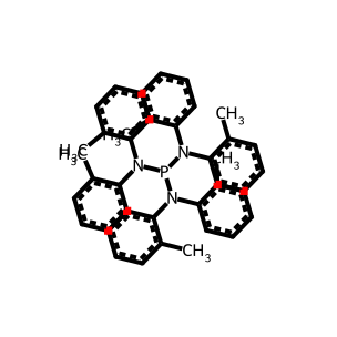 Cc1ccccc1N(c1ccccc1C)P(N(c1ccccc1C)c1ccccc1C)N(c1ccccc1C)c1ccccc1C